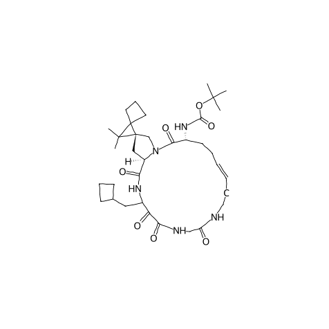 CC(C)(C)OC(=O)N[C@@H]1CC/C=C/CCNC(=O)CNC(=O)C(=O)C(CC2CCC2)NC(=O)[C@H]2C[C@@]3(CN2C1=O)C(C)(C)C31CCC1